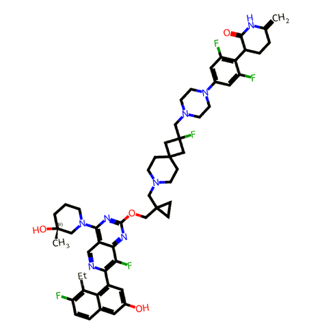 C=C1CCC(c2c(F)cc(N3CCN(CC4(F)CC5(CCN(CC6(COc7nc(N8CCC[C@@](C)(O)C8)c8cnc(-c9cc(O)cc%10ccc(F)c(CC)c9%10)c(F)c8n7)CC6)CC5)C4)CC3)cc2F)C(=O)N1